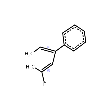 C/C=C(\C=C(/C)F)c1ccccc1